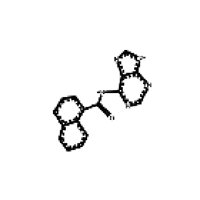 O=C(Nc1ncnc2[nH]cnc12)c1cccc2ccccc12